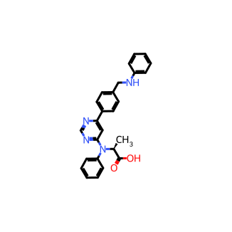 C[C@@H](C(=O)O)N(c1ccccc1)c1cc(-c2ccc(CNc3ccccc3)cc2)ncn1